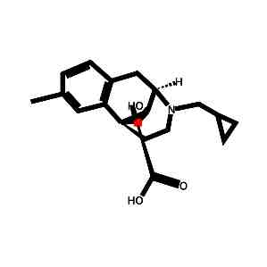 Cc1ccc2c(c1)[C@]13CCN(CC4CC4)[C@H](C2)[C@]1(O)C[C@H](C(=O)O)C3